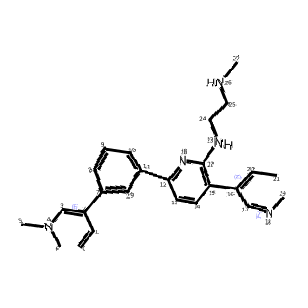 C=C/C(=C\N(C)C)c1cccc(-c2ccc(C(/C=N\C)=C/C)c(NCCNC)n2)c1